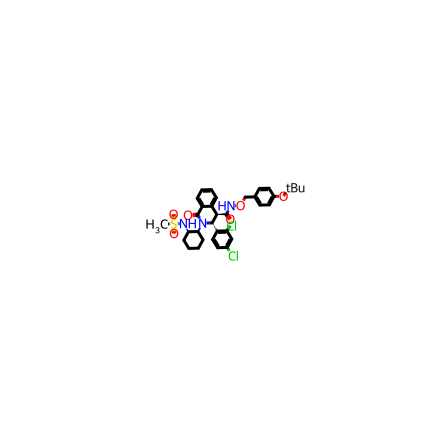 CC(C)(C)Oc1ccc(CONC(=O)[C@@H]2c3ccccc3C(=O)N([C@H]3CCCC[C@@H]3NS(C)(=O)=O)[C@H]2c2ccc(Cl)cc2Cl)cc1